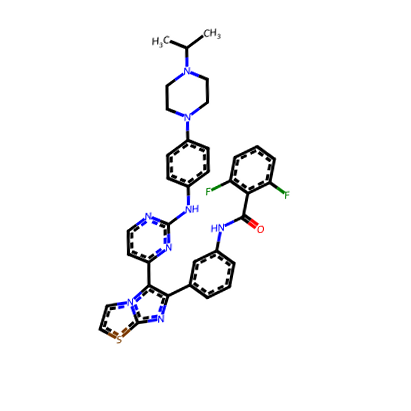 CC(C)N1CCN(c2ccc(Nc3nccc(-c4c(-c5cccc(NC(=O)c6c(F)cccc6F)c5)nc5sccn45)n3)cc2)CC1